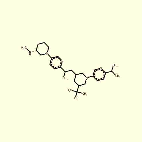 CN[C@@H]1CCCN(c2ccc(C(C)CC3CC(C(C)(C)O)CN(c4ccc(C(C)C)nc4)C3)nc2)C1